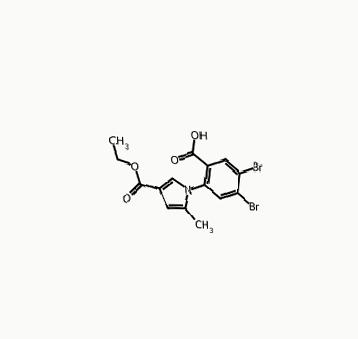 CCOC(=O)c1cc(C)n(-c2cc(Br)c(Br)cc2C(=O)O)c1